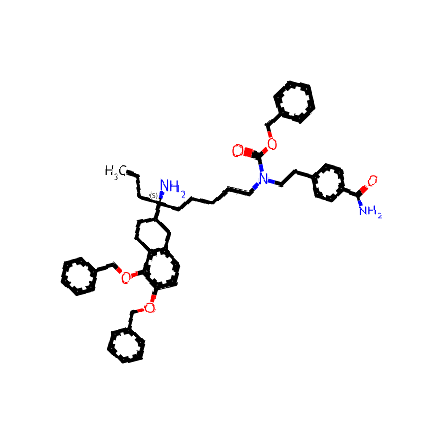 CCC[C@](N)(CCCCCN(CCc1ccc(C(N)=O)cc1)C(=O)OCc1ccccc1)C1CCc2c(ccc(OCc3ccccc3)c2OCc2ccccc2)C1